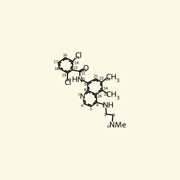 CNCCNc1ccnc2c(NC(=O)c3c(Cl)cccc3Cl)cc(C)c(C)c12